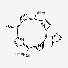 C#Cc1c2nc(c(CCCCCCC)c3ccc([nH]3)c(-c3nccn3C)c3nc(c(CCCCCCC)c4ccc1[nH]4)C=C3)C=C2.[Zn]